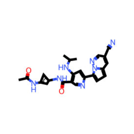 CC(=O)NC12CC(NC(=O)c3cnc(-c4ccc5cc(C#N)cnn45)cc3NC(C)C)(C1)C2